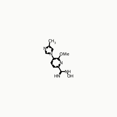 COc1nc(C(=N)NO)ccc1-n1cnc(C)c1